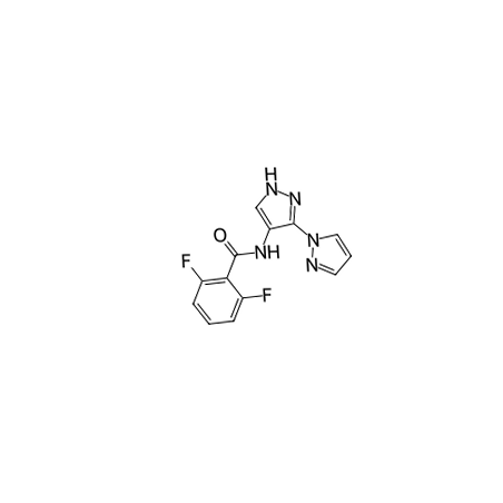 O=C(Nc1c[nH]nc1-n1cccn1)c1c(F)cccc1F